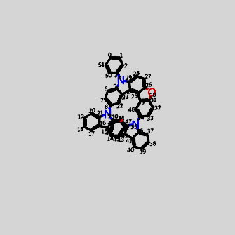 c1ccc(-n2c3ccc(-n4c5ccccc5c5ccccc54)cc3c3c4c(ccc32)oc2ccc(-n3c5ccccc5c5ccccc53)cc24)cc1